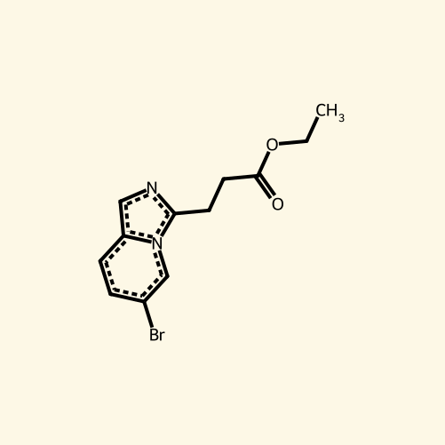 CCOC(=O)CCc1ncc2ccc(Br)cn12